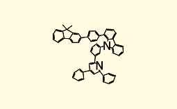 CC1(C)c2ccccc2-c2ccc(-c3ccc(-c4cccc5c6ccccc6n(-c6cccc(-c7cc(-c8ccccc8)cc(-c8ccccc8)n7)c6)c45)cc3)cc21